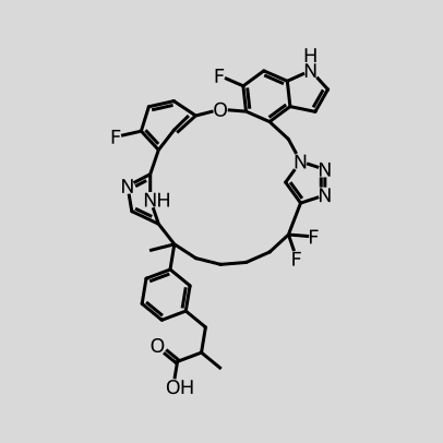 CC(Cc1cccc(C2(C)CCCCC(F)(F)c3cn(nn3)Cc3c(c(F)cc4[nH]ccc34)Oc3ccc(F)c(c3)-c3ncc2[nH]3)c1)C(=O)O